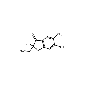 Cc1cc2c(cc1C)C(=O)C(C)(CO)C2